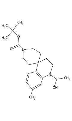 Cc1ccc2c(c1)N(C(C)O)CCC21CCN(C(=O)OC(C)(C)C)CC1